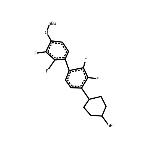 CCCCOc1ccc(-c2ccc(C3CCC(CCC)CC3)c(F)c2F)c(F)c1F